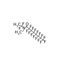 CCN(C(=O)C(F)(F)C(F)(F)C(F)(F)C(F)(F)C(F)(F)C(F)(F)C(F)(F)F)C(C)(F)F